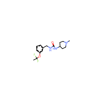 CN1CCC(NC(=O)NCc2cccc(OC(C)(F)F)c2)CC1